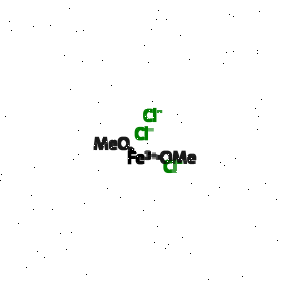 C[O][Fe+3][O]C.[Cl-].[Cl-].[Cl-]